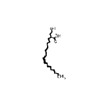 CCCCCCCC/C=C\CCCCCCC(CCO)C(=O)O